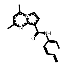 C=C/C=C\C(=C/C)NC(=O)c1ccn2c(C)cc(C)nc12